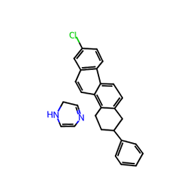 C1=CNCC=N1.Clc1ccc2c(ccc3c4c(ccc32)CC(c2ccccc2)CC4)c1